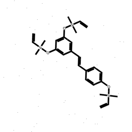 C=C[Si](C)(C)Oc1ccc(C=Cc2cc(O[Si](C)(C)C=C)cc(O[Si](C)(C)C=C)c2)cc1